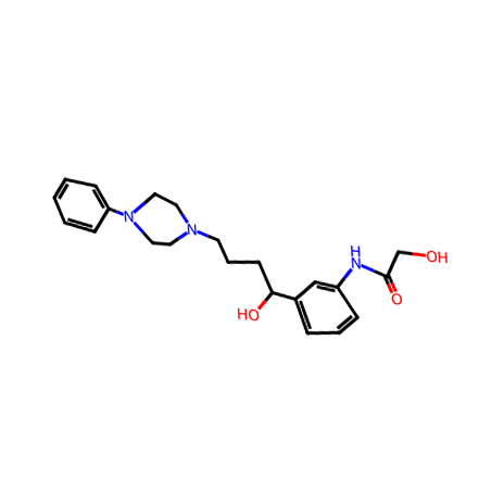 O=C(CO)Nc1cccc(C(O)CCCN2CCN(c3ccccc3)CC2)c1